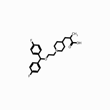 CC(CC1CCN(CCOC(c2ccc(F)cc2)c2ccc(F)cc2)CC1)C(=O)O